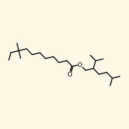 CCC(C)(C)CCCCCCCC(=O)OCC(CCC(C)C)C(C)C